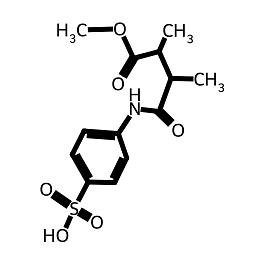 COC(=O)C(C)C(C)C(=O)Nc1ccc(S(=O)(=O)O)cc1